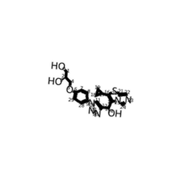 OC[C@H](O)COc1ccc(-n2cc([C@@H](O)c3c(C4CC4)sc4cncn34)nn2)cc1